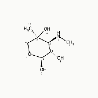 CN[C@H]1[C@H](O)[C@@H](O)OC[C@@]1(C)O